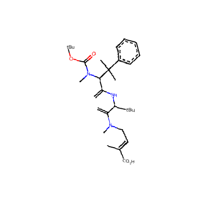 C=C(NC(C(=C)N(C)C/C=C(\C)C(=O)O)C(C)(C)C)C(N(C)C(=O)OC(C)(C)C)C(C)(C)c1ccccc1